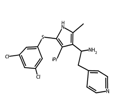 Cc1[nH]c(Sc2cc(Cl)cc(Cl)c2)c(C(C)C)c1C(N)Cc1ccncc1